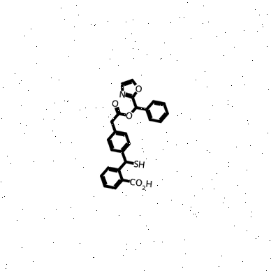 O=C(Cc1ccc(C(S)c2ccccc2C(=O)O)cc1)OC(c1ccccc1)c1ncco1